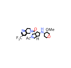 CO[C@@H]1COCC[C@@H]1N[C@@H]1C[C@H]2CN(C(C)=O)C[C@@]2(C(=O)N2CCc3ncc(C(F)(F)F)cc3C2)C1